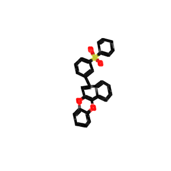 O=S(=O)(c1ccccc1)c1cccc(-c2cc3c(c4ccccc24)Oc2ccccc2O3)c1